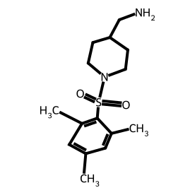 Cc1cc(C)c(S(=O)(=O)N2CCC(CN)CC2)c(C)c1